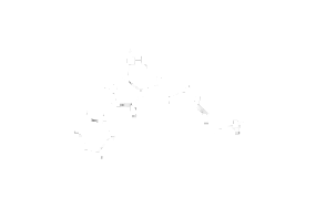 Cc1oc(-c2ccccc2)nc1CCCC#CCBr